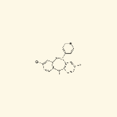 Fc1ccc2c(c1)C(c1ccncc1)=Nc1cc(Cl)ccc1N2